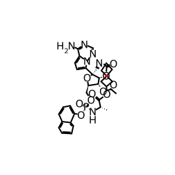 CC(=O)O[C@H]1[C@@H](OC(C)=O)[C@](C#N)(c2ccc3c(N)ncnn23)O[C@@H]1COP(=O)(N[C@@H](C)C(=O)OC1CC2(CCC2)C1)Oc1cccc2ccccc12